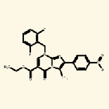 CCOC(=O)c1cn(Cc2c(F)cccc2F)c2nc(-c3ccc([N+](=O)[O-])cc3)c(C)n2c1=O